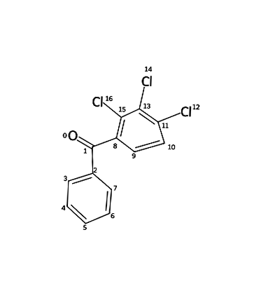 O=C(c1ccccc1)c1ccc(Cl)c(Cl)c1Cl